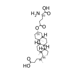 C[C@H](CCC(=O)O)[C@H]1CC[C@H]2[C@@H]3CC[C@@H]4C[C@@H](OC(=O)CC[C@H](N)C(=O)O)CC[C@]4(C)[C@H]3CC[C@]12C